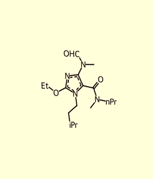 CCCN(C)C(=O)c1c(N(C)C=O)nc(OCC)n1CCC(C)C